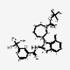 Cc1cccc2nc(NC(=O)c3ccnc(C(F)(F)F)c3)n(C3CCCCN(C(=O)OC(C)(C)C)C3)c12